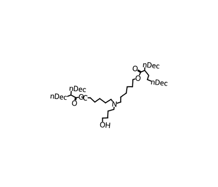 CCCCCCCCCCCCC(CCCCCCCCCC)C(=O)OCCCCCCN(CCCCO)CCCCCCOC(=O)C(CCCCCCCCCC)CCCCCCCCCC